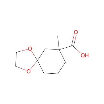 CC1(C(=O)O)CCCC2(C1)OCCO2